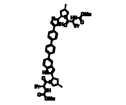 COC(=O)N[C@H](C(=O)N1C[C@@H](C)C[C@H]1c1cc2cc(-c3ccc(-c4ccc(-c5cnc([C@@H]6C[C@H](C)CN6C(=O)[C@@H](NC(=O)OC)C(C)C)[nH]5)cc4)cc3)ccc2[nH]1)C(C)C